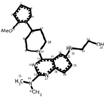 COc1ccccc1C1CCN(c2nc(N(C)C)nc3ccc(NCCO)cc23)CC1